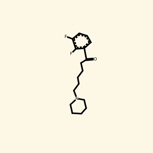 O=C(CCCCCN1CC[CH]CC1)c1cccc(F)c1F